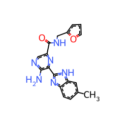 Cc1ccc2nc(-c3nc(C(=O)NCc4ccco4)cnc3N)[nH]c2c1